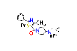 CCCN(CC1CC1)C1CCN(C(=O)c2sc(-c3ccccc3C(C)C)nc2C)CC1